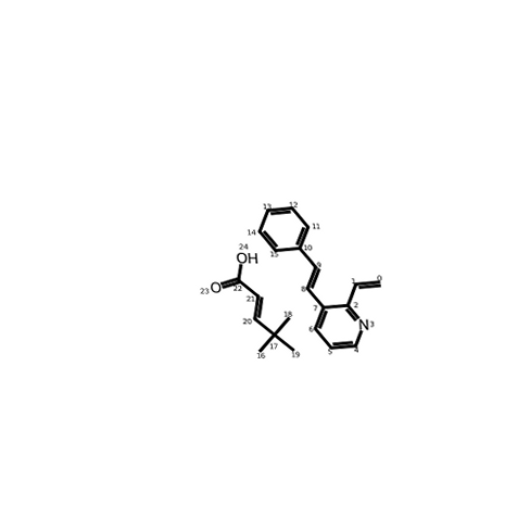 C=Cc1ncccc1C=Cc1ccccc1.CC(C)(C)C=CC(=O)O